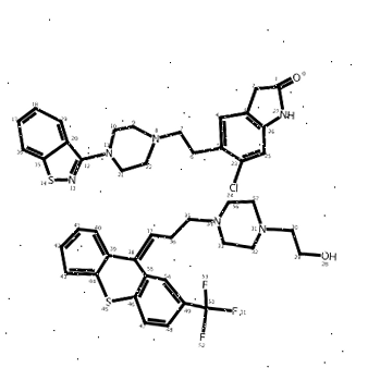 O=C1Cc2cc(CCN3CCN(c4nsc5ccccc45)CC3)c(Cl)cc2N1.OCCN1CCN(CC/C=C2/c3ccccc3Sc3ccc(C(F)(F)F)cc32)CC1